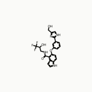 O=C(NCC(O)C(F)(F)F)c1c(Oc2cccc(-c3nc(CO)c[nH]3)c2)ccc2[nH]ccc12